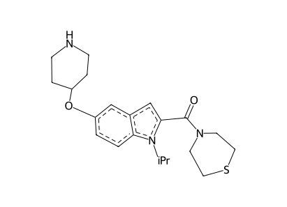 CC(C)n1c(C(=O)N2CCSCC2)cc2cc(OC3CCNCC3)ccc21